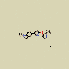 CC1C(Oc2ccc(-c3ccc4c(ccn4C)c3)cn2)C2CCN1CC2